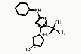 CC(C)(C)n1nc(NC2CCCCC2)cc1[C@H]1CC[C@@H](O)C1